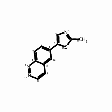 Cc1ncc(-c2ccc3nnccc3c2)s1